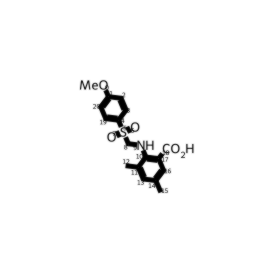 COc1ccc(S(=O)(=O)CNc2c(C)cc(C)cc2C(=O)O)cc1